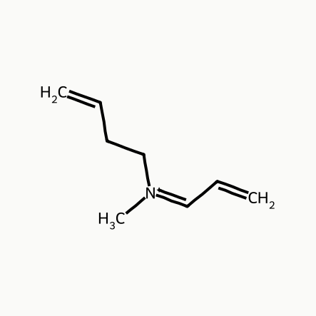 C=C/C=[N+](/C)CCC=C